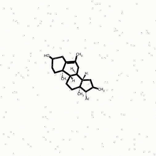 CC(=O)[C@H]1C(C)C[C@H]2[C@@H]3CC(C)=C4CC(O)CC[C@]4(C)[C@H]3CC[C@]12C